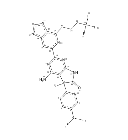 CC1(c2ccc(C(F)F)cn2)C(=O)Nc2nc(-c3cn4ncnc4c(CCCC(F)(F)F)n3)nc(N)c21